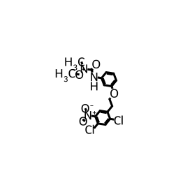 CON(C)C(=O)Nc1cccc(OCCc2cc([N+](=O)[O-])c(Cl)cc2Cl)c1